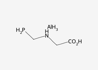 O=C(O)CNCP.[AlH3]